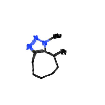 CC(C)C1CCCCCc2nnn(C(C)(C)C)c21